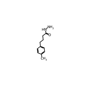 Cc1ccc(CCCC(=O)NN)cc1